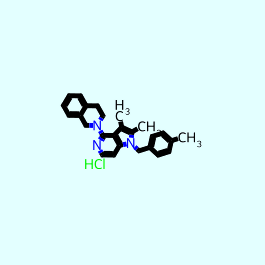 Cc1ccc(Cn2c(C)c(C)c3c(N4CCc5ccccc5C4)nccc32)cc1.Cl